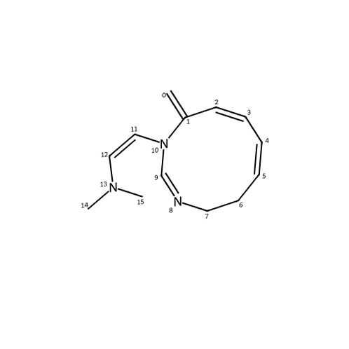 C=C1/C=C\C=C/CC/N=C\N1/C=C\N(C)C